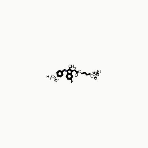 CCOP(=O)(O)OCCCCOC(=O)CC1=C(C)/C(=C/c2ccc([S+](C)[O-])cc2)c2ccc(F)cc21